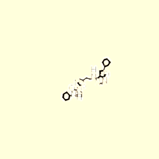 O=C(NC1=NCC(CCNc2ncnc3oc(-c4ccccc4)cc23)S1)Nc1ccccc1